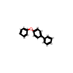 c1ccc(Oc2ccc(-c3ccccc3)cc2)cc1